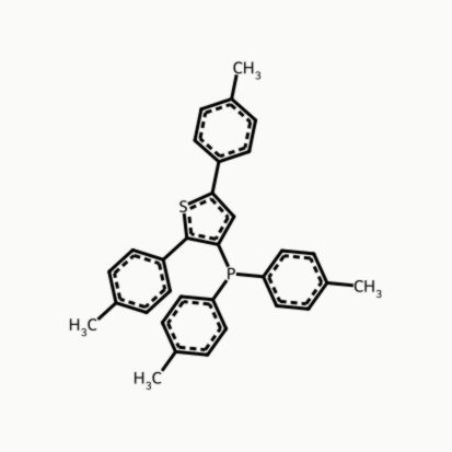 Cc1ccc(-c2cc(P(c3ccc(C)cc3)c3ccc(C)cc3)c(-c3ccc(C)cc3)s2)cc1